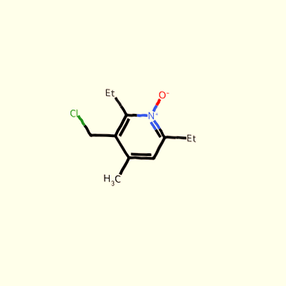 CCc1cc(C)c(CCl)c(CC)[n+]1[O-]